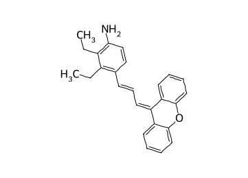 CCc1c(N)ccc(C=CC=C2c3ccccc3Oc3ccccc32)c1CC